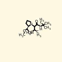 COC(O)[C@H]1CCCN1C(C(=O)NC(C)(C)C)C(C)C